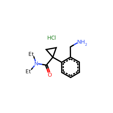 CCN(CC)C(=O)C1(c2ccccc2CN)CC1.Cl